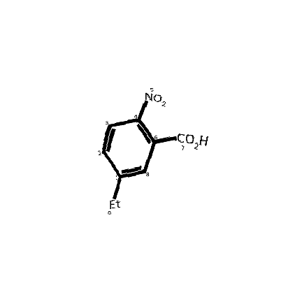 CCc1ccc([N+](=O)[O-])c(C(=O)O)c1